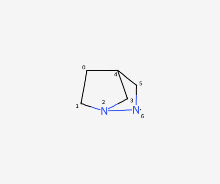 C1CN2CC1C[N]2